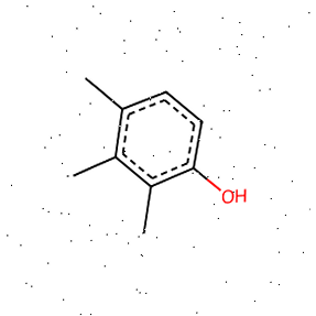 [CH2]c1c(C)ccc(O)c1C